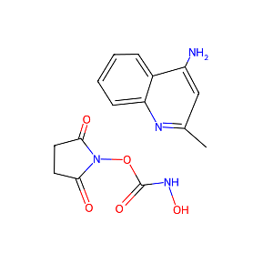 Cc1cc(N)c2ccccc2n1.O=C(NO)ON1C(=O)CCC1=O